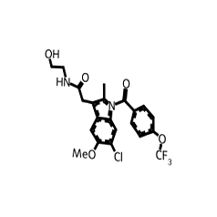 COc1cc2c(CC(=O)NCCO)c(C)n(C(=O)c3ccc(OC(F)(F)F)cc3)c2cc1Cl